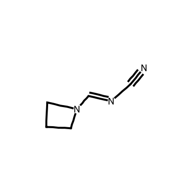 N#CN=CN1CCC1